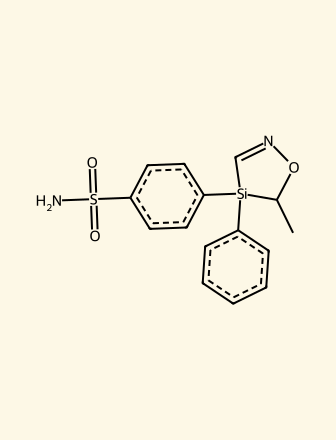 CC1ON=C[Si]1(c1ccccc1)c1ccc(S(N)(=O)=O)cc1